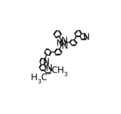 Cc1cc(C)c2ccc3ccc(-c4cccc(-c5cccc(-c6nc(-c7ccccc7)nc(-c7cccc(-c8cccc9cnccc89)c7)n6)c5)c4)nc3c2n1